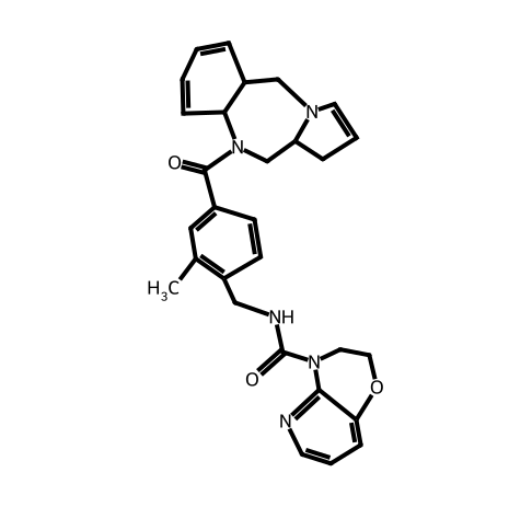 Cc1cc(C(=O)N2CC3CC=CN3CC3C=CC=CC32)ccc1CNC(=O)N1CCOc2cccnc21